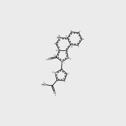 O=C(O)c1ccc(-n2nc3c4ccccc4[nH]cc-3c2=O)s1